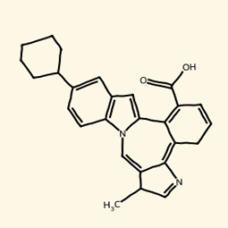 CC1C=NC2=C3CC=CC(C(=O)O)=C3c3cc4cc(C5CCCCC5)ccc4n3C=C21